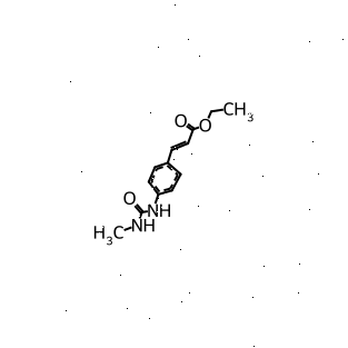 CCOC(=O)/C=C/c1ccc(NC(=O)NC)cc1